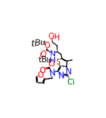 Cc1c(CC(CCO)NC(=O)OC(C)(C)C)sc2c(N(Cc3ccco3)C(=O)OC(C)(C)C)nc(Cl)nc12